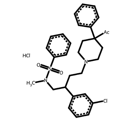 CC(=O)C1(c2ccccc2)CCN(CCC(CN(C)S(=O)(=O)c2ccccc2)c2cccc(Cl)c2)CC1.Cl